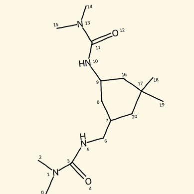 CN(C)C(=O)NCC1CC(NC(=O)N(C)C)CC(C)(C)C1